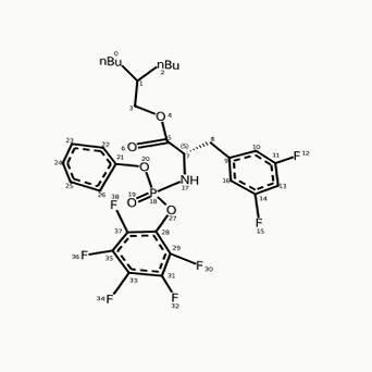 CCCCC(CCCC)COC(=O)[C@H](Cc1cc(F)cc(F)c1)NP(=O)(Oc1ccccc1)Oc1c(F)c(F)c(F)c(F)c1F